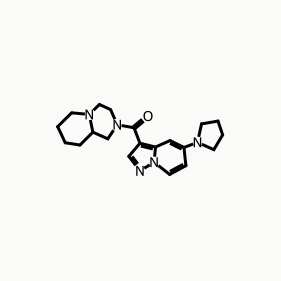 O=C(c1cnn2ccc(N3CCCC3)cc12)N1CCN2CCCCC2C1